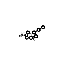 CCCC1(CC)c2ccccc2-c2c(N(c3ccc(-c4ccc(-c5ccccc5)cc4)cc3)c3cccc4oc5ccccc5c34)cccc21